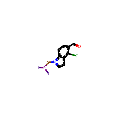 O=Cc1ccc2c(ccn2SP(I)I)c1F